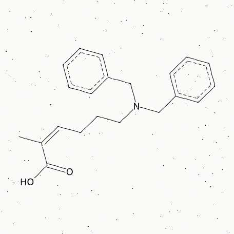 CC(=CCCCN(Cc1ccccc1)Cc1ccccc1)C(=O)O